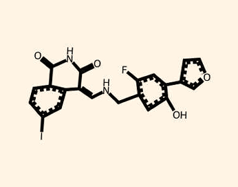 O=C1NC(=O)c2ccc(I)cc2/C1=C/NCc1cc(O)c(-c2ccoc2)cc1F